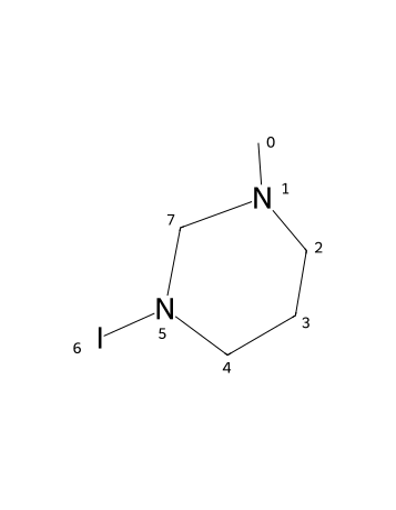 CN1CCCN(I)C1